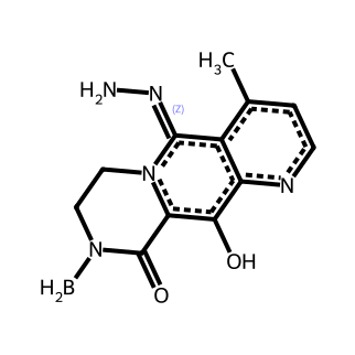 BN1CCn2c(c(O)c3nccc(C)c3/c2=N/N)C1=O